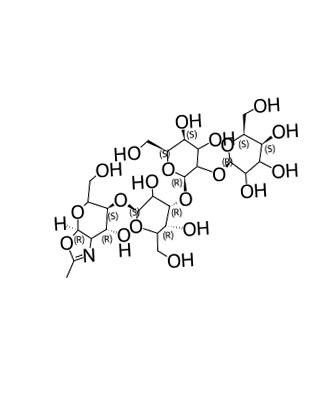 CC1=NC2[C@@H](O1)OC(CO)[C@@H](O[C@@H]1OC(CO)[C@@H](O)[C@@H](O[C@H]3O[C@@H](CO)[C@@H](O)C(O)C3O[C@H]3O[C@@H](CO)[C@@H](O)C(O)C3O)C1O)[C@@H]2O